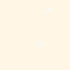 Nc1cc(C=C(NC(=O)c2ccccc2)C(=O)O)ccc1Oc1ccccc1Br